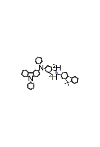 [2H]/C(=C(/[2H])c1ccc2c(c1)C(C)(C)c1ccccc1-2)c1ccc(N(c2ccccc2)c2ccc3c(c2)c2ccccc2n3-c2ccccc2)cc1